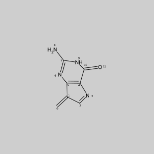 C=C1C=Nc2c1nc(N)[nH]c2=O